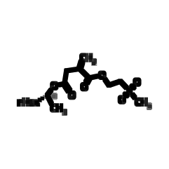 C=C(CC(=O)O[C@H](C)CCCCCC)C(=O)OCCS(C)(=O)=O